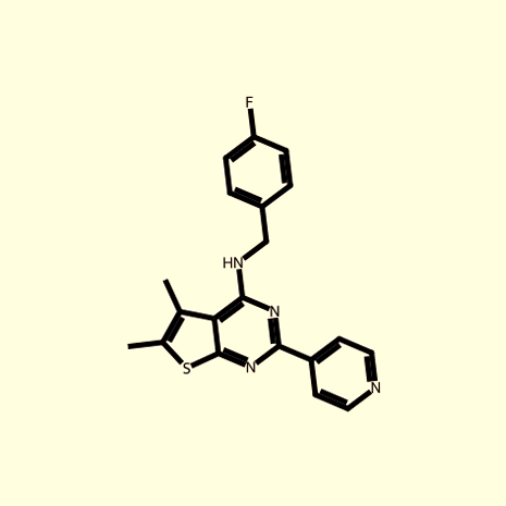 Cc1sc2nc(-c3ccncc3)nc(NCc3ccc(F)cc3)c2c1C